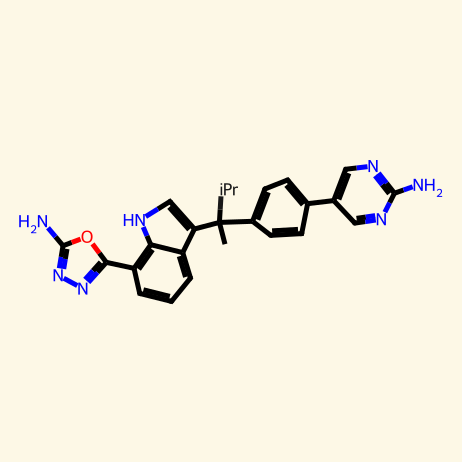 CC(C)C(C)(c1ccc(-c2cnc(N)nc2)cc1)c1c[nH]c2c(-c3nnc(N)o3)cccc12